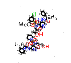 COc1ccc(Cl)cc1S(=O)(=O)N1C[C@H](C(O)C[C@H]2CCCN(S(=O)(=O)N3C[C@H](CO)Oc4ncc(NC(=O)[C@@H](C)c5ccccc5)cc43)C2)Oc2ncc(NC(=O)[C@@H](C)c3ccccc3)cc21